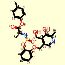 Cc1ccc(OC(=O)[C@H](C)N=[P+]([O-])Oc2ccccc2OCc2cnc(C)c(O)c2CO)cc1